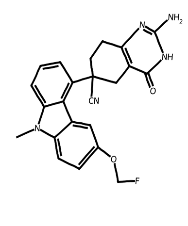 Cn1c2ccc(OCF)cc2c2c(C3(C#N)CCc4nc(N)[nH]c(=O)c4C3)cccc21